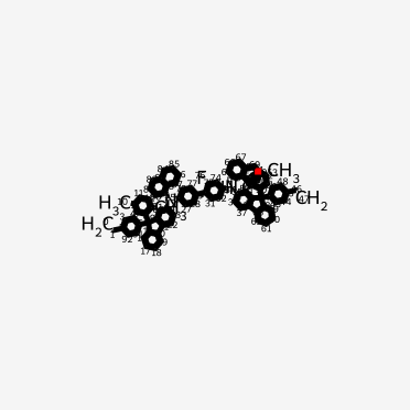 C=Cc1ccc(C2(c3cc(C)ccc3C)c3ccccc3-c3ccc(N(c4ccc(-c5ccc(N(c6ccc7c(c6)C(c6ccc(C=C)cc6)(c6cc(C)ccc6C)c6ccccc6-7)c6cccc7ccccc67)cc5F)cc4)c4cccc5ccccc45)cc32)cc1